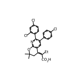 CC/C(C(=O)O)=C1/CC(C)(C)Oc2nc(-c3ccc(Cl)cc3Cl)c(-c3ccc(Cl)cc3)cc21